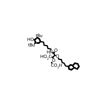 CC(C)(C)c1cc(CCCCCNC(=O)C(OCCCCCc2ccc3ccccc3c2)C(OCC(=O)O)C(=O)O)cc(C(C)(C)C)c1O